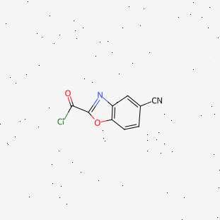 N#Cc1ccc2oc(C(=O)Cl)nc2c1